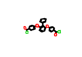 O=C(Cl)c1ccc(Oc2cccc(Oc3ccc(C(=O)Cl)cc3)c2-c2ccccc2)cc1